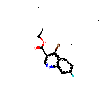 CCOC(=O)c1cnc2cc(F)ccc2c1Br